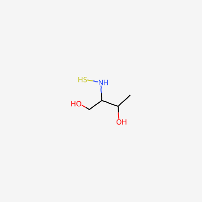 CC(O)C(CO)NS